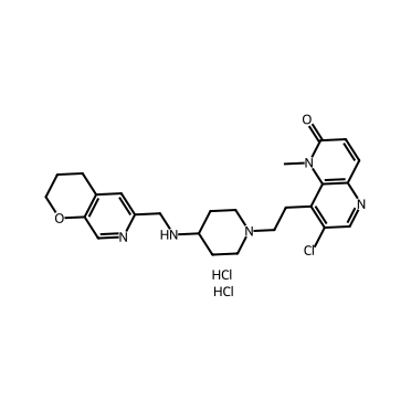 Cl.Cl.Cn1c(=O)ccc2ncc(Cl)c(CCN3CCC(NCc4cc5c(cn4)OCCC5)CC3)c21